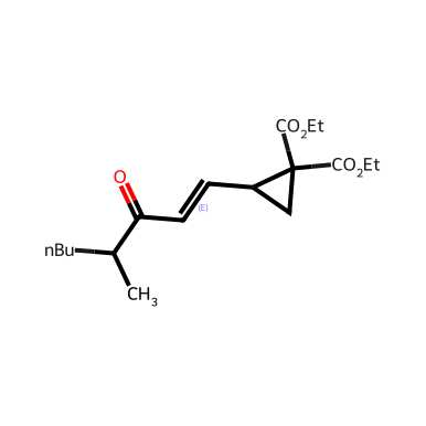 CCCCC(C)C(=O)/C=C/C1CC1(C(=O)OCC)C(=O)OCC